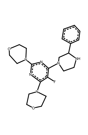 Fc1c(N2CCOCC2)nc(N2CCOCC2)nc1N1CCNC(c2ccccc2)C1